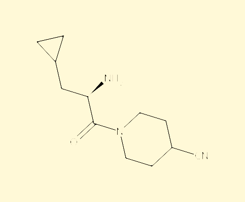 N#CC1CCN(C(=O)[C@H](N)CC2CC2)CC1